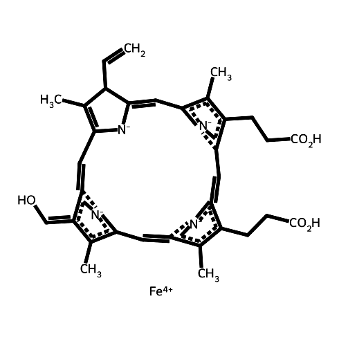 C=CC1C(C)=C2/C=c3\[n-]c(c(C)\c3=C\O)/C=c3\[n-]/c(c(CCC(=O)O)c3C)=C\c3[n-]c(c(C)c3CCC(=O)O)/C=C/1[N-]2.[Fe+4]